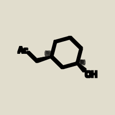 CC(=O)C[C@H]1CCC[C@@H](O)C1